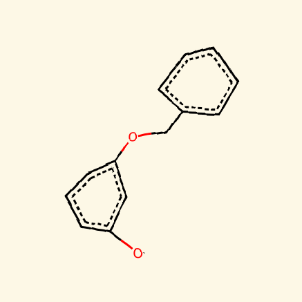 [O]c1cccc(OCc2ccccc2)c1